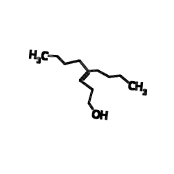 CCCCC(=CCCO)CCCC